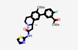 COC(=O)c1cc(-c2cc3c(cc2OC)CCN[C@]3(C)CC(=O)Nc2nccs2)ccc1F